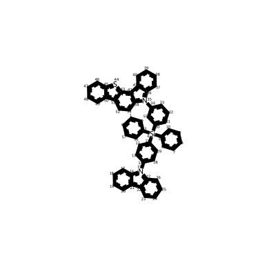 c1ccc([Si](c2ccccc2)(c2ccc(-n3c4ccccc4c4ccccc43)cc2)c2cccc(-n3c4ccccc4c4c5sc6ccccc6c5ccc43)c2)cc1